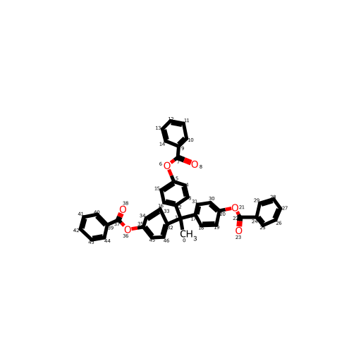 CC(c1ccc(OC(=O)c2ccccc2)cc1)(c1ccc(OC(=O)c2ccccc2)cc1)c1ccc(OC(=O)c2ccccc2)cc1